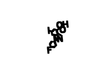 O=C(O)c1cc(I)cc2c1cnn2-c1ccc(F)cc1